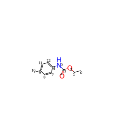 CCOC(=O)Nc1ccc(C)cc1